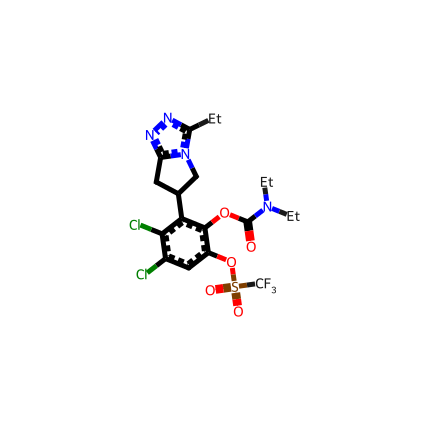 CCc1nnc2n1CC(c1c(Cl)c(Cl)cc(OS(=O)(=O)C(F)(F)F)c1OC(=O)N(CC)CC)C2